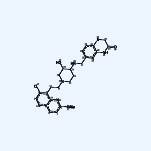 COc1ccc2ncc(Cl)c(CCN3CCC(NCc4ccc5c(n4)NC(=O)CS5)C(O)C3)c2n1